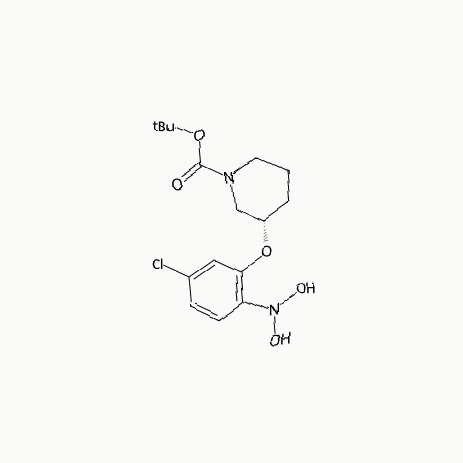 CC(C)(C)OC(=O)N1CCC[C@H](Oc2cc(Cl)ccc2N(O)O)C1